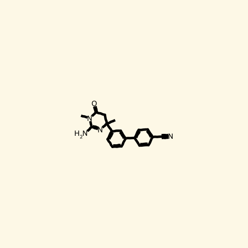 CN1C(=O)CC(C)(c2cccc(-c3ccc(C#N)cc3)c2)N=C1N